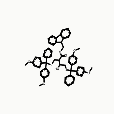 COc1ccc(C(SCC(O)C(CSC(c2ccccc2)(c2ccc(OC)cc2)c2ccc(OC)cc2)C(=O)OCC2c3ccccc3-c3ccccc32)(c2ccccc2)c2ccc(OC)cc2)cc1